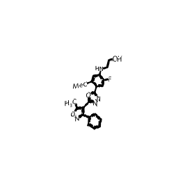 COc1cc(NCCO)c(F)cc1-c1nnc(-c2c(-c3ccccc3)noc2C)o1